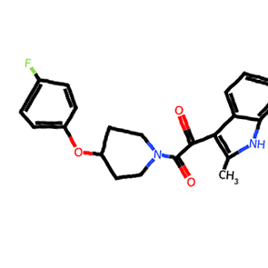 Cc1[nH]c2ccccc2c1C(=O)C(=O)N1CCC(Oc2ccc(F)cc2)CC1